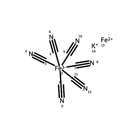 N#[C][Fe-3]([C]#N)([C]#N)([C]#N)([C]#N)[C]#N.[Fe+2].[K+]